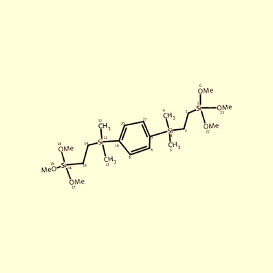 CO[Si](CC[Si](C)(C)c1ccc([Si](C)(C)CC[Si](OC)(OC)OC)cc1)(OC)OC